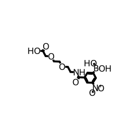 O=C(O)COCCOCCNC(=O)c1cc(B(O)O)cc([N+](=O)[O-])c1